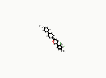 Cc1ccc(C2CC=C(C3CCC(C4CCC(C)CC4)CC3)OC2)c(F)c1F